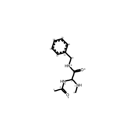 CNC(NC(C)=O)C(=O)NCc1ccccc1